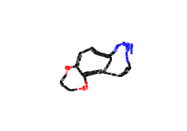 c1cc2c3c(ccc2[nH]1)OCCO3